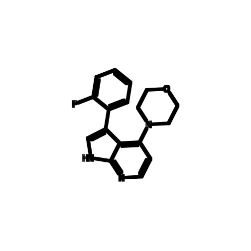 Fc1ccccc1-c1c[nH]c2nccc(N3CCOCC3)c12